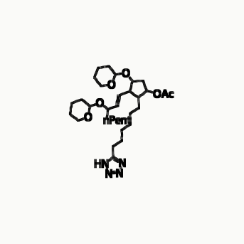 CCCCCC(C=CC1C(OC2CCCCO2)CC(OC(C)=O)C1CCCCCCc1nnn[nH]1)OC1CCCCO1